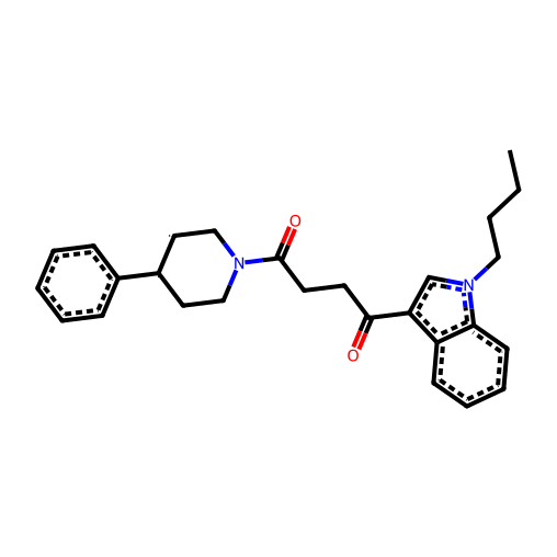 CCCCn1cc(C(=O)CCC(=O)N2C[CH][C](c3ccccc3)CC2)c2ccccc21